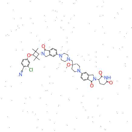 COC1(CN2CCN(c3ccc4c(c3)CN([C@H]3C(C)(C)[C@H](Oc5ccc(C#N)c(Cl)c5)C3(C)C)C4=O)CC2)CCN(c2ccc3c(c2)CN(C2CCC(=O)NC2=O)C3=O)CC1